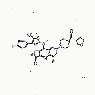 CN(c1nc(-c2ccc(F)cc2)c(C#N)s1)c1c2c(nc3c(F)cc(N4CCN(C(=O)[C@@H]5CCOC5)CC4)cc13)C(=O)NC2